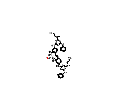 CN(CCO)c1nc(Nc2ccccc2)nc(Nc2ccc(/C=C/c3ccc(Nc4nc(Nc5ccccc5)nc(N(C)CCO)n4)cc3S(=O)(=O)[O-])c(S(=O)(=O)[O-])c2)n1.[Na+].[Na+]